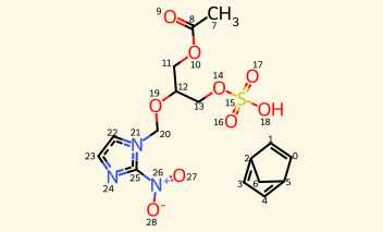 C1=CC2=CC=C1C2.CC(=O)OCC(COS(=O)(=O)O)OCn1ccnc1[N+](=O)[O-]